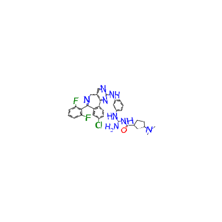 CN(C)C1CCC(C(=O)NC(N)Nc2cccc(Nc3ncc4c(n3)-c3ccc(Cl)cc3C(c3c(F)cccc3F)=NC4)c2)C1